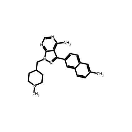 Cc1ccc2cc(-c3nn(CC4CCN(C)CC4)c4ncnc(N)c34)ccc2c1